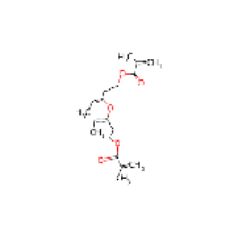 C=C(C)C(=O)OCCC(=CC)OC(=CC)CCOC(=O)C(=C)C